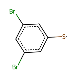 [S]c1cc(Br)cc(Br)c1